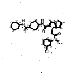 CCN(C(=O)Cn1c(C(=O)NC2CCC(C(=O)NC3CCCCC3)CC2)cc2sccc21)c1cccc(C)c1